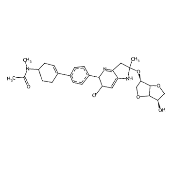 CC(=O)N(C)C1CC=C(c2ccc(C3N=C4CC(C)(O[C@@H]5COC6C5OC[C@H]6O)NC4=CC3Cl)cc2)CC1